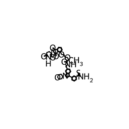 CC(OCCOc1cccc2c1C(=O)N(C1CCC(=O)NC1=O)C2=O)C(=O)NCc1ccc2c(-c3cccc(C(N)=S)c3)cn(C3CCOCC3)c2c1